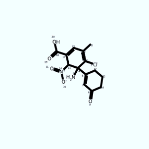 CC1=C(Cl)C(N)(C2=CC(=O)CCC2)C([N+](=O)[O-])C(C(=O)O)=C1